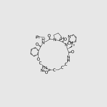 CC(C)C[C@H]1NC(=O)c2ccccc2OCc2noc(n2)CCCCCNC(=O)[C@H](Cc2cccnc2)N(C)C(=O)[C@H]2CCCN2C1=O